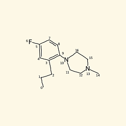 CCCc1cc(F)ccc1N1CCN(C)CC1